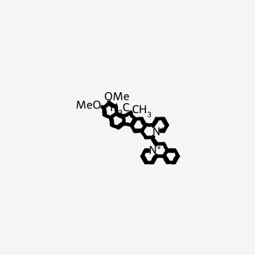 COc1cc2ccc3c(c2cc1OC)C(C)(C)c1cc2c(cc1-3)C/C(=C1/Cc3ccccc3-c3cccc[n+]31)[n+]1ccccc1-2